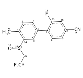 Cc1ccc(-c2ccc(C#N)cc2F)cc1[S+]([O-])CC(F)(F)F